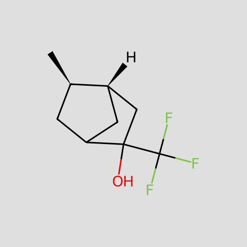 C[C@@H]1CC2C[C@H]1CC2(O)C(F)(F)F